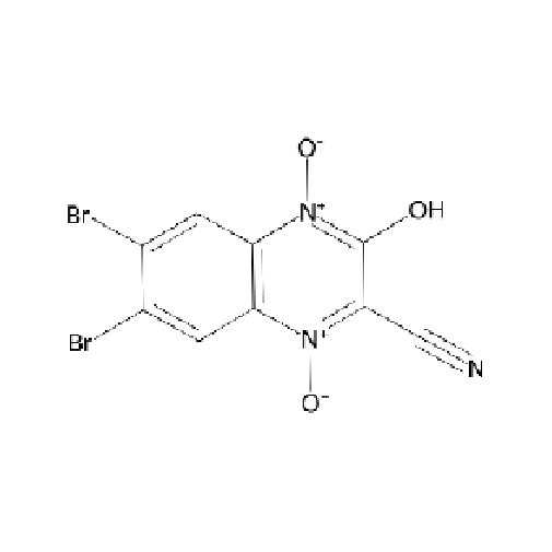 N#Cc1c(O)[n+]([O-])c2cc(Br)c(Br)cc2[n+]1[O-]